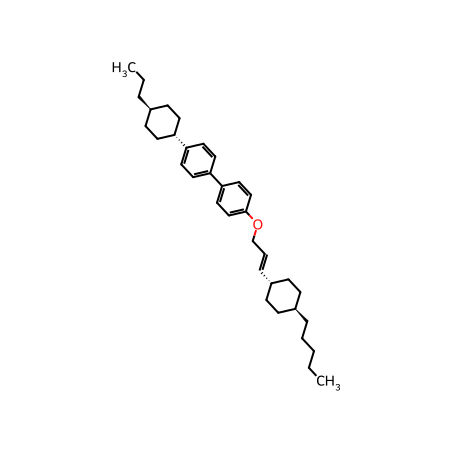 CCCCC[C@H]1CC[C@H](/C=C/COc2ccc(-c3ccc([C@H]4CC[C@H](CCC)CC4)cc3)cc2)CC1